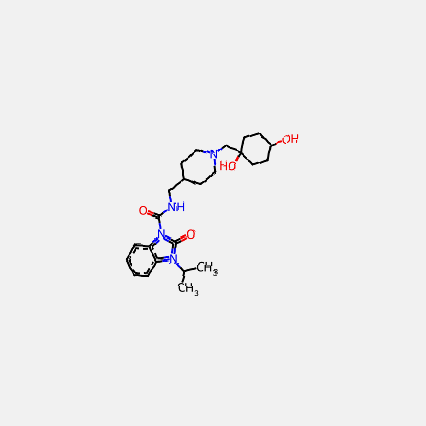 CC(C)n1c(=O)n(C(=O)NCC2CCN(CC3(O)CCC(O)CC3)CC2)c2ccccc21